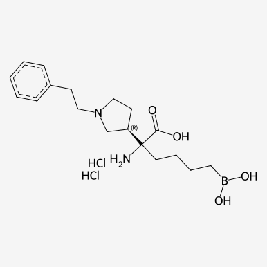 Cl.Cl.NC(CCCCB(O)O)(C(=O)O)[C@@H]1CCN(CCc2ccccc2)C1